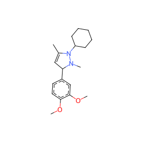 COc1ccc(C2C=C(C)N(C3CCCCC3)N2C)cc1OC